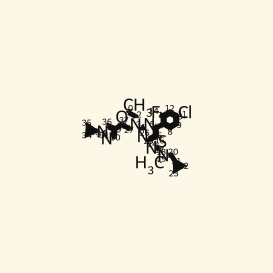 CC1CN(c2nc(-c3ccc(Cl)cc3F)c3sc(N(C)CC4CC4)nc3n2)CC(c2cnn(C3CC3)c2)O1